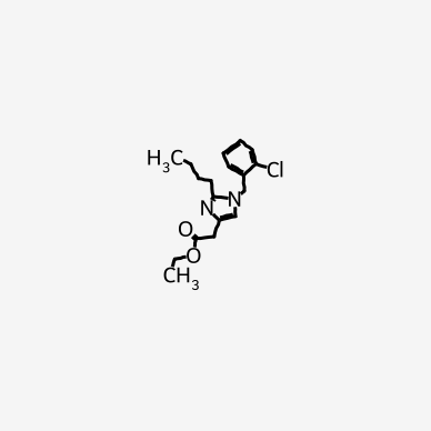 CCCCc1nc(CC(=O)OCC)cn1Cc1ccccc1Cl